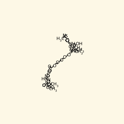 CC(=O)c1c(C)c2cnc(Nc3ccc(N4CCN(C(=O)CCOCCOCCOCCOCCOCCC(=O)NC(C(=O)N5C[C@H](O)C[C@H]5C(=O)NCc5ccc(-c6scnc6C)cc5)C(C)(C)C)CC4)cn3)nc2n(C2CCCC2)c1=O